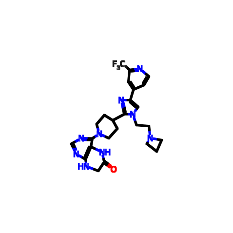 O=C1CNc2ncnc(N3CCC(c4nc(-c5ccnc(C(F)(F)F)c5)cn4CCN4CCC4)CC3)c2N1